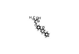 CCC(CCOc1ccc(N2CCN(c3ccncc3)CC2=O)cc1)C(=O)O